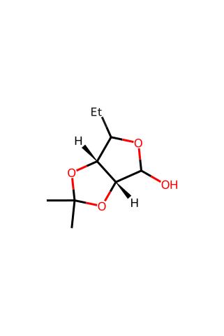 CCC1OC(O)[C@@H]2OC(C)(C)O[C@H]12